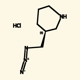 Cl.[N-]=[N+]=NC[C@H]1CCCNC1